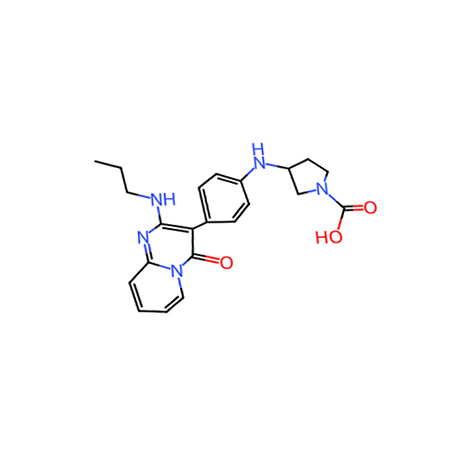 CCCNc1nc2ccccn2c(=O)c1-c1ccc(NC2CCN(C(=O)O)C2)cc1